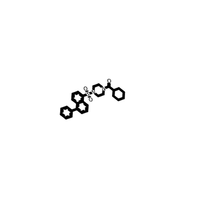 O=C(C1CCCCC1)N1CCN(S(=O)(=O)c2cccc3c(-c4ccccc4)cccc23)CC1